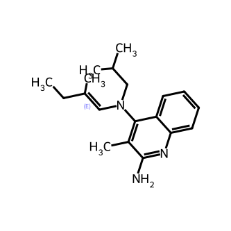 CC/C(C)=C/N(CC(C)C)c1c(C)c(N)nc2ccccc12